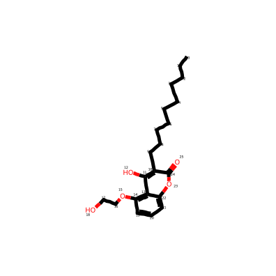 CCCCCCCCCCc1c(O)c2c(OCCO)cccc2oc1=O